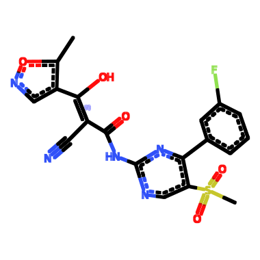 Cc1oncc1/C(O)=C(\C#N)C(=O)Nc1ncc(S(C)(=O)=O)c(-c2cccc(F)c2)n1